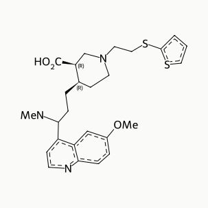 CNC(CC[C@@H]1CCN(CCSc2cccs2)C[C@@H]1C(=O)O)c1ccnc2ccc(OC)cc12